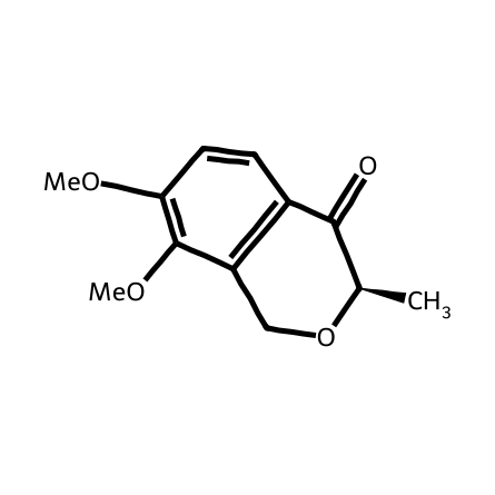 COc1ccc2c(c1OC)CO[C@H](C)C2=O